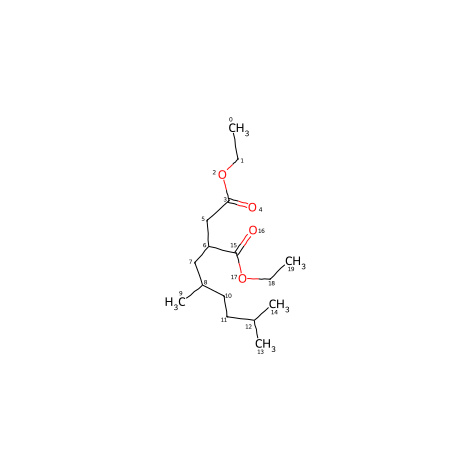 CCOC(=O)CC(CC(C)CCC(C)C)C(=O)OCC